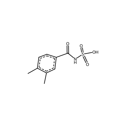 Cc1ccc(C(=O)NS(=O)(=O)O)cc1C